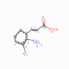 Nc1c(Cl)cccc1/C=C/C(=O)O